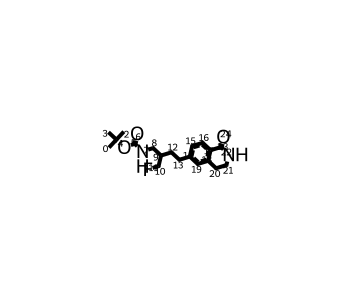 CC(C)(C)OC(=O)NCC(CF)CCc1ccc2c(c1)CCNC2=O